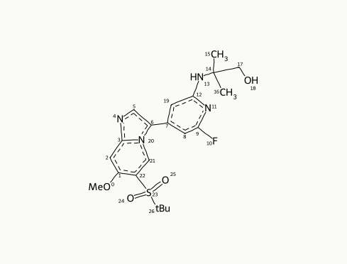 COc1cc2ncc(-c3cc(F)nc(NC(C)(C)CO)c3)n2cc1S(=O)(=O)C(C)(C)C